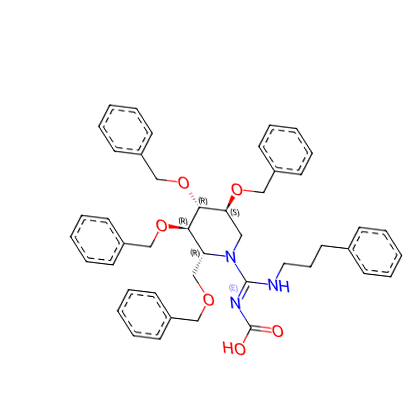 O=C(O)/N=C(\NCCCc1ccccc1)N1C[C@H](OCc2ccccc2)[C@@H](OCc2ccccc2)[C@H](OCc2ccccc2)[C@H]1COCc1ccccc1